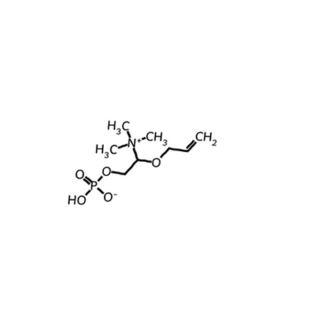 C=CCOC(COP(=O)([O-])O)[N+](C)(C)C